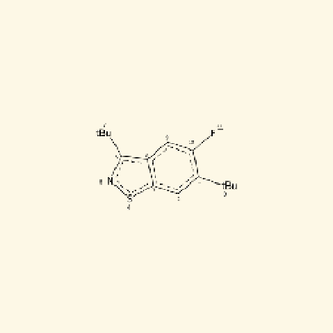 CC(C)(C)c1cc2snc(C(C)(C)C)c2cc1F